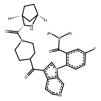 CC(C)N(C(=O)c1cc(F)ccc1-n1cc(C(=O)C2CCN(C(=O)[C@H]3N[C@@H]4CC[C@H]3C4)CC2)c2ccncc21)C(C)C